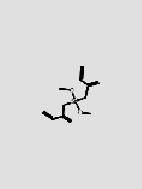 C=CC(=C)C[Si](CC(=C)C=C)(OC)OC